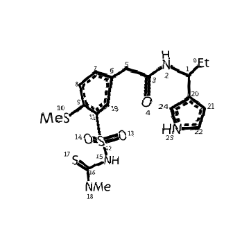 CCC(NC(=O)Cc1ccc(SC)c(S(=O)(=O)NC(=S)NC)c1)c1cc[nH]c1